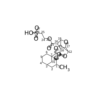 CC1CC2CCCC(C(=O)OC3C4OC(=O)C5C4OC3C5C(=O)OCCS(=O)(=O)O)(C1)C2